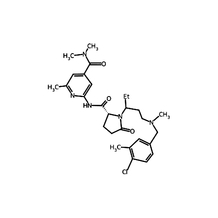 CCC(CCN(C)Cc1ccc(Cl)c(C)c1)N1C(=O)CC[C@@H]1C(=O)Nc1cc(C(=O)N(C)C)cc(C)n1